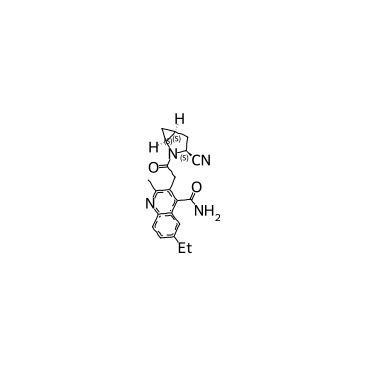 CCc1ccc2nc(C)c(CC(=O)N3[C@H](C#N)C[C@@H]4C[C@@H]43)c(C(N)=O)c2c1